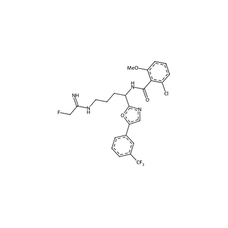 COc1cccc(Cl)c1C(=O)NC(CCCNC(=N)CF)c1ncc(-c2cccc(C(F)(F)F)c2)o1